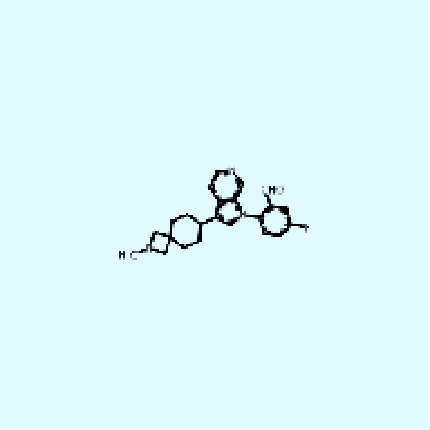 CN1CC2(CCC(c3cn(-c4ccc(F)cc4C=O)c4cnccc34)CC2)C1